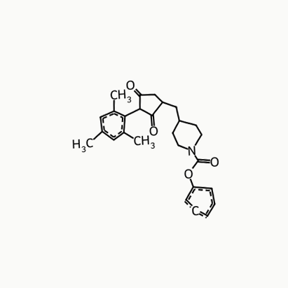 Cc1cc(C)c(C2C(=O)CC(CC3CCN(C(=O)Oc4ccccc4)CC3)C2=O)c(C)c1